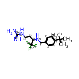 CC(C)(C)c1ccc(CNC(CCNC(=N)N)C(F)(F)F)cc1